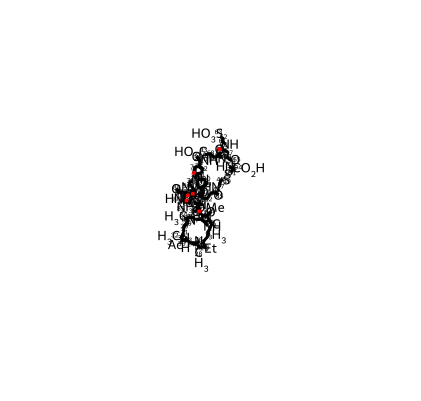 CC[C@H]1c2cc3[nH]c4c(c3C)C(=O)C(C(=O)OC)c4c3nc(cc4[nH]c(cc(n2)[C@@H]1C)c(C(C)=O)c4C)[C@@H](C)[C@@H]3CCC(=O)NC(CCC(=O)NCCSSC[C@H](NC(=O)[C@H](CC(=O)NCCS(=O)(=O)O)NC(=O)CC[C@H](NC(=O)c1ccc(NCc2cnc3nc(N)[nH]c(=O)c3n2)cc1)C(=O)O)C(=O)O)P(=O)(Oc1ccccc1)Oc1ccccc1